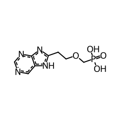 O=P(O)(O)COCCc1nc2ncncc2[nH]1